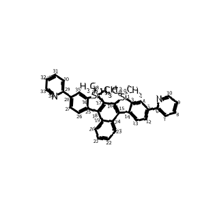 C[Si]1(C)c2cc(-c3ccccn3)ccc2-c2c1c1c(c3ccccc23)-c2ccc(-c3ccccn3)cc2[Si]1(C)C